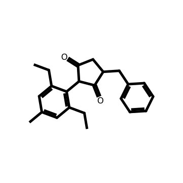 CCc1cc(C)cc(CC)c1C1C(=O)CC(Cc2ccccc2)C1=O